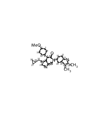 COc1ccc(-c2c(=O)n(-c3ccc4nc(C)n(C)c4c3)nc3ncn(CC4CC4)c23)cc1